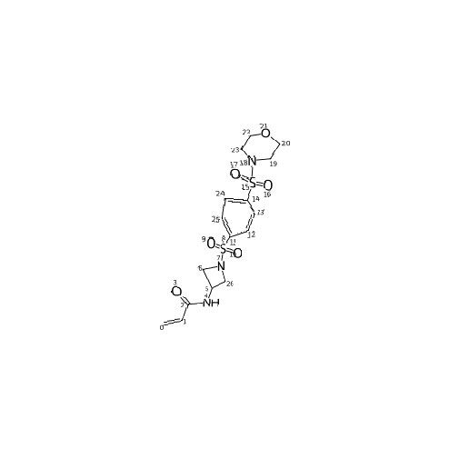 C=CC(=O)NC1CN(S(=O)(=O)c2ccc(S(=O)(=O)N3CCOCC3)cc2)C1